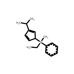 CC[Si](C)([C]1C=CC(C(C)C)=C1)c1ccccc1